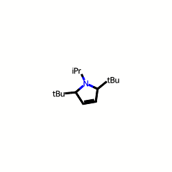 CC(C)N1C(C(C)(C)C)C=CC1C(C)(C)C